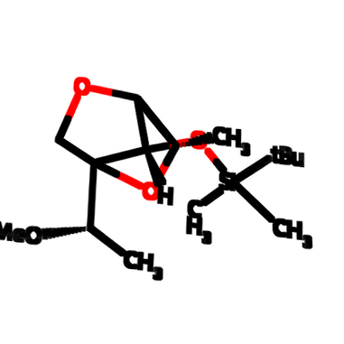 CO[C@@H](C)C12COC([C@H](C)O1)[C@@H]2O[Si](C)(C)C(C)(C)C